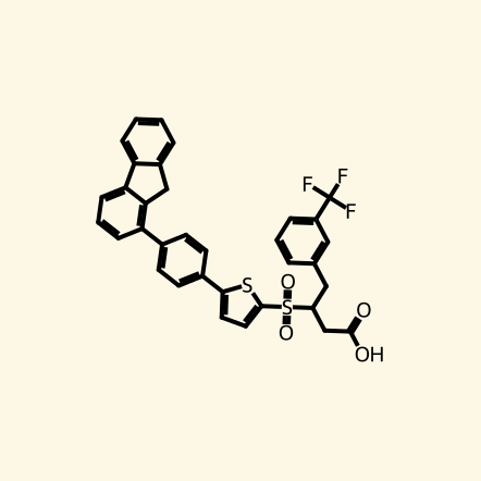 O=C(O)CC(Cc1cccc(C(F)(F)F)c1)S(=O)(=O)c1ccc(-c2ccc(-c3cccc4c3Cc3ccccc3-4)cc2)s1